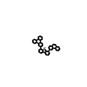 c1ccc2c(c1)ccc1ccc(-c3cccc4c3sc3c(-c5ccc6c7ccccc7c7ccccc7c6c5)cccc34)cc12